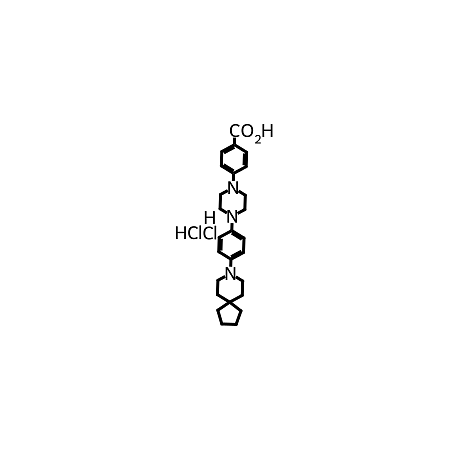 Cl.Cl.O=C(O)c1ccc(N2CCN(c3ccc(N4CCC5(CCCC5)CC4)cc3)CC2)cc1